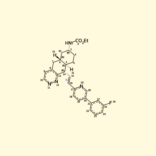 CCOC(=O)N[C@@H]1CC[C@@H]2[C@H](Cc3ccnnc3[C@H]2/C=C/c2ccc(-c3cccc(F)c3)cn2)C1